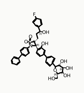 O=S1(=O)[C@H](CC[C@H](O)c2ccc(F)cc2)[C@@H](c2ccc(-c3ccc(C4O[C@H](CO)[C@@H](O)[C@H](O)[C@H]4O)cc3)cc2O)N1c1ccc(-c2ccccc2)cc1